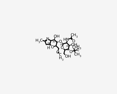 COCC1O[C@H]2CC(C)=NC2[C@@H](O)[C@@H]1O[C@@H]1OC(CO)[C@@H](OC(C)(C)C)[C@H](O)C1NC(C)=O